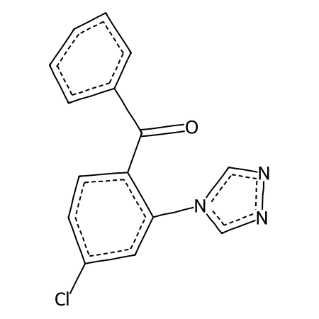 O=C(c1ccccc1)c1ccc(Cl)cc1-n1cnnc1